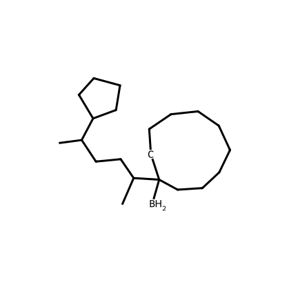 BC1(C(C)CCC(C)C2CCCC2)CCCCCCCCC1